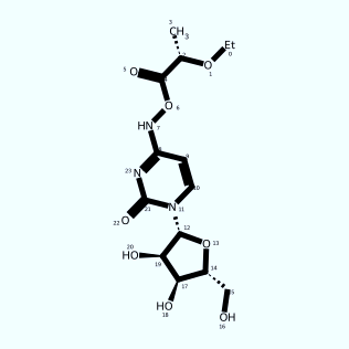 CCO[C@@H](C)C(=O)ONc1ccn([C@@H]2O[C@H](CO)[C@@H](O)[C@H]2O)c(=O)n1